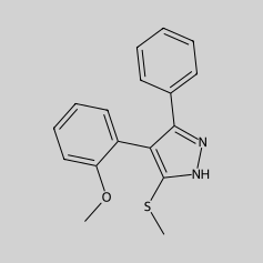 COc1ccccc1-c1c(-c2ccccc2)n[nH]c1SC